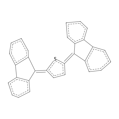 c1ccc2c(c1)C(=c1ccc(=C3c4ccccc4-c4ccccc43)s1)c1ccccc1-2